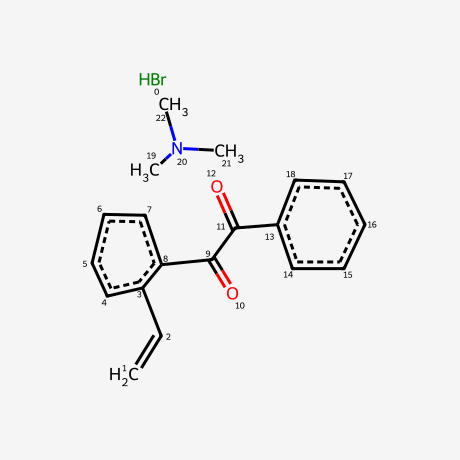 Br.C=Cc1ccccc1C(=O)C(=O)c1ccccc1.CN(C)C